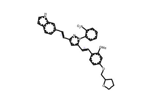 COc1cc(OCC2CCCO2)ccc1/C=C/c1cc(/C=C/c2ccc3cc[nH]c3c2)nn1-c1ccccc1[N+](=O)[O-]